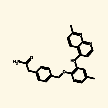 Cc1ccc(OCc2ccc(CC(N)=O)cc2)c(Nc2ccnc3nc(C)ccc23)c1